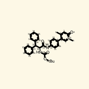 Cc1cc(=O)n(C)cc1-c1ccc(NC(=O)[C@@H](NC(=O)OC(C)(C)C)C(c2ccccc2)c2ccccc2)cc1